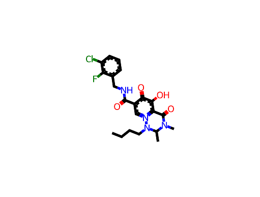 CCCCN1C(C)N(C)C(=O)c2c(O)c(=O)c(C(=O)NCc3cccc(Cl)c3F)cn21